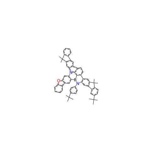 CC(C)(C)c1ccc(N2B3c4cc5c(cc4-n4c6cc7c(cc6c6ccc(c3c64)-c3cc4c(cc32)-c2cc(C(C)(C)C)ccc2C4(C)C)-c2ccccc2C7(C)C)oc2ccccc25)cc1